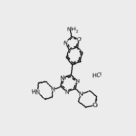 Cl.Nc1nc2cc(-c3nc(N4CCNCC4)nc(N4CCOCC4)n3)ccc2o1